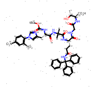 C[C@@H](O)[C@H](NC(=O)CNC(=O)[C@H](CCC(=O)NC(c1ccccc1)(c1ccccc1)c1ccccc1)NC(=O)C(C)(C)NC(=O)[C@H](Cc1cn(-c2ccc([N+](=O)[O-])cc2[N+](=O)[O-])cn1)NC(=O)OC(C)(C)C)C(=O)O